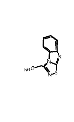 COc1nsc2nc3ccccc3n12